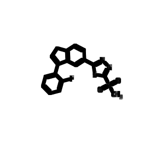 CS(=O)(=O)c1nnc(-c2ccc3c(c2)C(c2ccccc2F)=CC3)s1